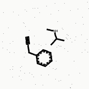 C#CCc1ccccc1.CNC(C)C